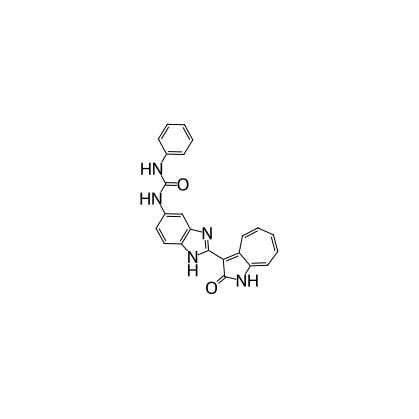 O=C(Nc1ccccc1)Nc1ccc2[nH]c(-c3c4cccccc-4[nH]c3=O)nc2c1